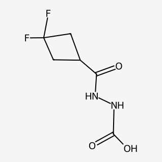 O=C(O)NNC(=O)C1CC(F)(F)C1